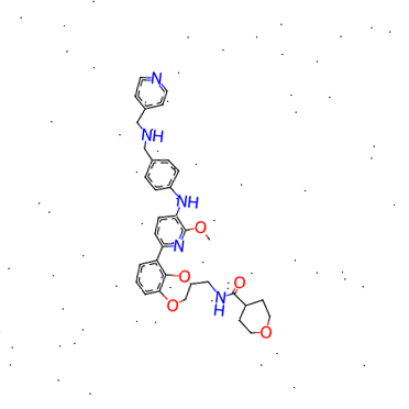 COc1nc(-c2cccc3c2OC(CNC(=O)C2CCOCC2)CO3)ccc1Nc1ccc(CNCc2ccncc2)cc1